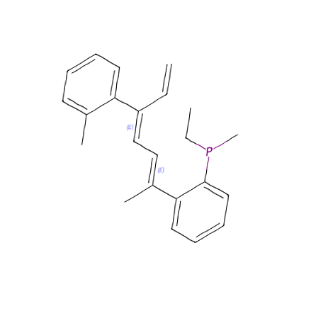 C=C/C(=C\C=C(/C)c1ccccc1P(C)CC)c1ccccc1C